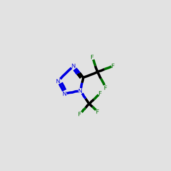 FC(F)(F)c1nnnn1C(F)(F)F